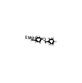 CCNCc1ccc(OCc2ccccc2)cc1